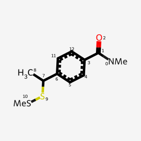 CNC(=O)c1ccc(C(C)SSC)cc1